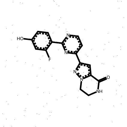 O=C1NCCn2nc(-c3ccnc(-c4ccc(O)cc4F)n3)cc21